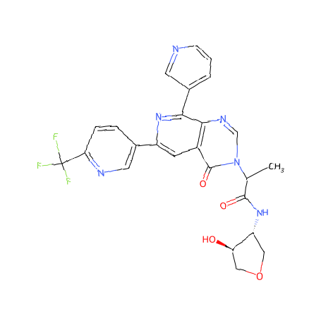 CC(C(=O)N[C@@H]1COC[C@H]1O)n1cnc2c(-c3cccnc3)nc(-c3ccc(C(F)(F)F)nc3)cc2c1=O